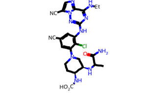 CCNc1nc(Nc2cc(C#N)cc(N3CC[C@H](NC(=O)O)[C@H](NC(C)C(N)=O)C3)c2Cl)nn2c(C#N)cnc12